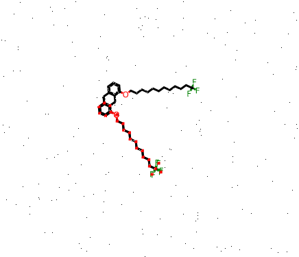 FC(F)(F)CCCCCCCCCCCOc1cccc2c1C1c3c(OCCCCCCCCCCCC(F)(F)F)cccc3C2c2cccc(OCCCCCCCCCCCC(F)(F)F)c21